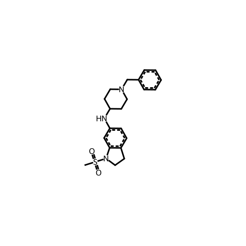 CS(=O)(=O)N1CCc2ccc(NC3CCN(Cc4ccccc4)CC3)cc21